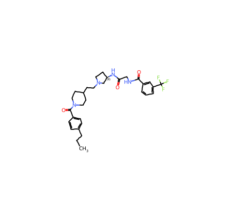 CCCc1ccc(C(=O)N2CCC(CCN3CC[C@@H](NC(=O)CNC(=O)c4cccc(C(F)(F)F)c4)C3)CC2)cc1